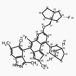 Cc1cc2[nH]nc(C)c2c(-c2c(F)c3nc(OC[C@@]45CCCN4C[C@H](F)C5)nc(N4C[C@H]5CC[C@@H](C4)N5)c3c3cn(C)nc23)c1Cl